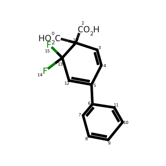 O=C(O)C1(C(=O)O)C=CC(c2ccccc2)=CC1(F)F